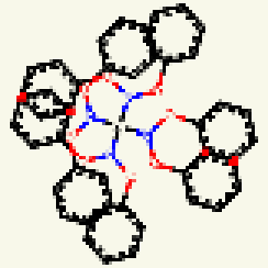 c1ccc(O[N](Oc2ccccc2)[Zr]([N](Oc2ccccc2)Oc2ccccc2)([N](Oc2ccccc2)Oc2ccccc2)[N](Oc2ccccc2)Oc2ccccc2)cc1